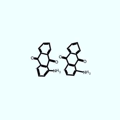 Nc1cc[c]c2c1C(=O)c1ccccc1C2=O.Nc1cc[c]c2c1C(=O)c1ccccc1C2=O